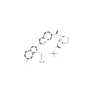 Cc1c(-c2cc3ccc(Br)cc3n2CC2CC2)nn2cc(C(=O)N3CC4CCC3[C@@H]4NC(=O)OC(C)(C)C)ccc12